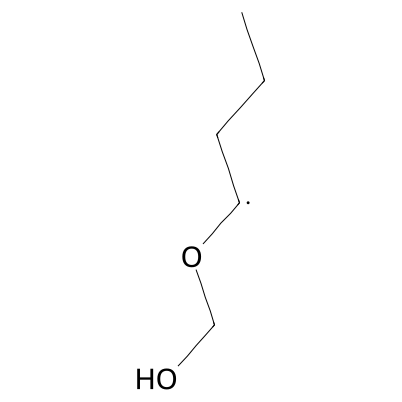 CCC[CH]OCO